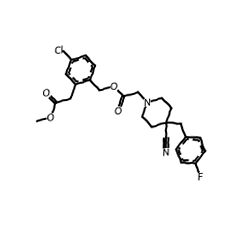 COC(=O)Cc1cc(Cl)ccc1COC(=O)CN1CCC(C#N)(Cc2ccc(F)cc2)CC1